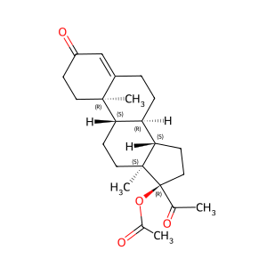 CC(=O)O[C@]1(C(C)=O)CC[C@H]2[C@@H]3CCC4=CC(=O)CC[C@]4(C)[C@H]3CC[C@@]21C